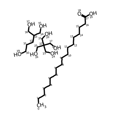 CCCCCCCCCCCCCCCCCC(=O)O.OCC(CO)(CO)CO.OCCCC(CO)CO